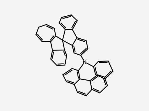 C1=CC2=C(C=CC1)C1(c3ccccc32)c2ccccc2-c2ccc(N(c3ccccc3)c3cccc4ccc5ccccc5c34)cc21